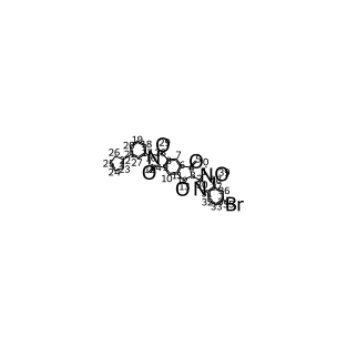 Cn1c(C2C(=O)c3cc4c(cc3C2=O)C(=O)N(c2cccc(C3=CC=CC3)c2)C4=O)nc2ccc(Br)cc2c1=O